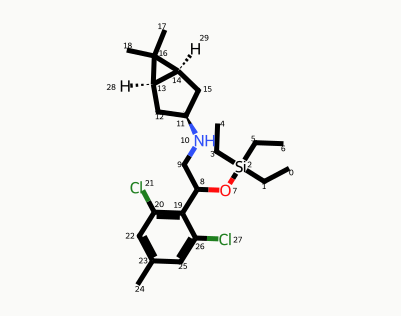 CC[Si](CC)(CC)OC(CN[C@H]1C[C@@H]2[C@H](C1)C2(C)C)c1c(Cl)cc(C)cc1Cl